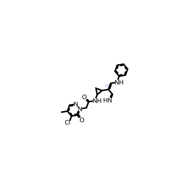 Cc1cnn(CC(=O)NC2CC2/C(C=N)=C/Nc2ccccc2)c(=O)c1Cl